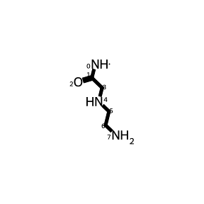 [NH]C(=O)CNCCN